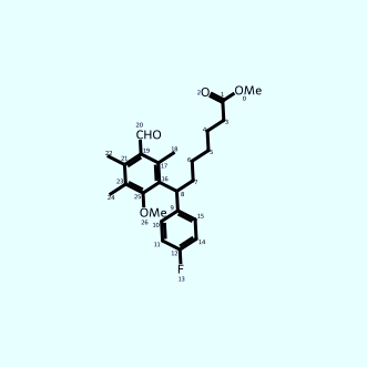 COC(=O)CCCCCC(c1ccc(F)cc1)c1c(C)c(C=O)c(C)c(C)c1OC